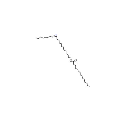 CCCCCCCC/C=C\CCCCCCCCCCCCOC(=O)CCCCCCCCCCCCCC